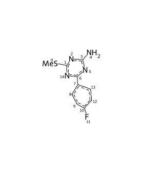 CSc1nc(N)nc(-c2ccc(F)cc2)n1